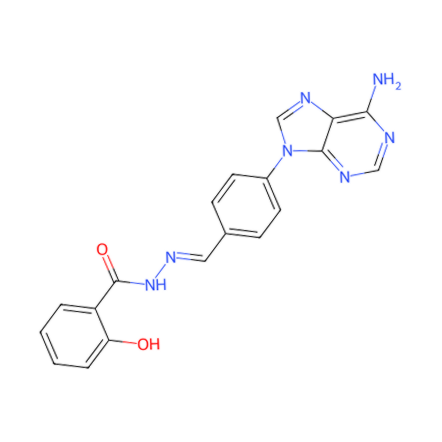 Nc1ncnc2c1ncn2-c1ccc(C=NNC(=O)c2ccccc2O)cc1